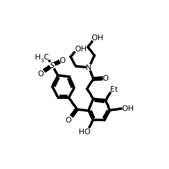 CCc1c(O)cc(O)c(C(=O)c2ccc(S(C)(=O)=O)cc2)c1CC(=O)N(CCO)CCO